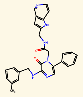 Cc1cccc(CNc2ncc(-c3ccccc3)n(CC(=O)NCc3cc4cnccc4[nH]3)c2=O)c1